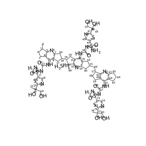 CC1CCc2c1nc1c(c2NC(=O)N=[S@@](N)(=O)c2cnc(C(C)(O)CO)s2)CC(C2Cc3c(nc4c(c3NC(=O)N=S(N)(=O)c3cnc([C@](C)(O)CO)s3)CC(CC3CCc5c3nc3c(c5NC(=O)N=S(N)(=O)c5cnc(C(C)(O)CO)s5)CCC3)C4)[C@]2(C)[SiH3])C1